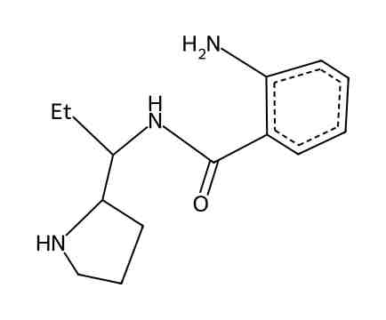 CCC(NC(=O)c1ccccc1N)C1CCCN1